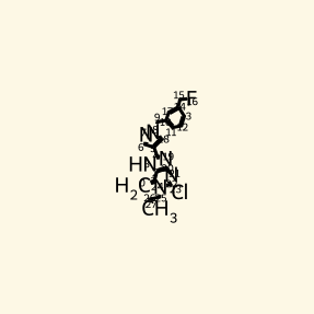 C=C1c2[nH]c(-c3cnn(Cc4cccc(CF)c4)c3)nc2N=C(Cl)N1CCC